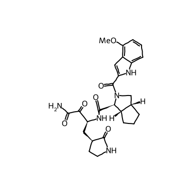 COc1cccc2[nH]c(C(=O)N3C[C@@H]4CCC[C@@H]4[C@H]3C(=O)N[C@@H](C[C@@H]3CCNC3=O)C(=O)C(N)=O)cc12